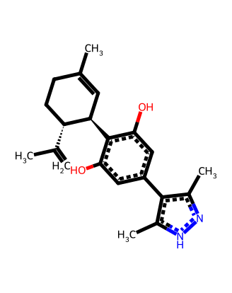 C=C(C)[C@@H]1CCC(C)=C[C@H]1c1c(O)cc(-c2c(C)n[nH]c2C)cc1O